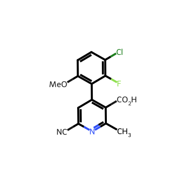 COc1ccc(Cl)c(F)c1-c1cc(C#N)nc(C)c1C(=O)O